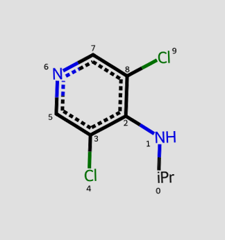 CC(C)Nc1c(Cl)cncc1Cl